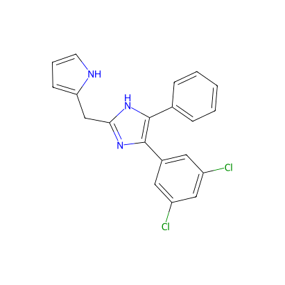 Clc1cc(Cl)cc(-c2nc(Cc3ccc[nH]3)[nH]c2-c2ccccc2)c1